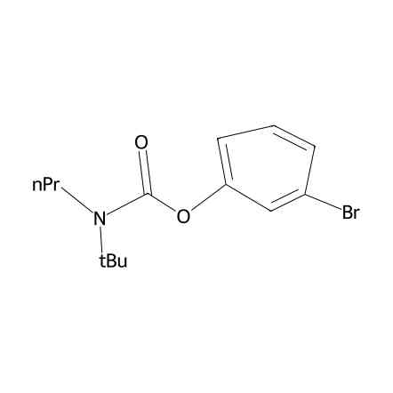 CCCN(C(=O)Oc1cccc(Br)c1)C(C)(C)C